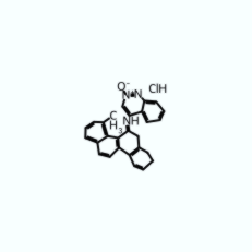 Cc1cccc2ccc3c(c12)C(=N)CC1=C3C=CCC1.Cl.[O-][n+]1ccc2ccccc2n1